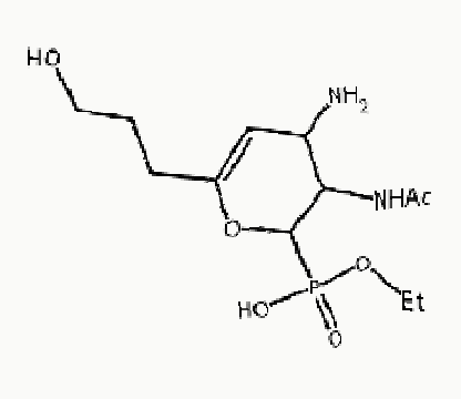 CCOP(=O)(O)C1OC(CCCO)=CC(N)C1NC(C)=O